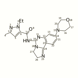 CCn1nc(C)cc1C(=O)NC1=Nc2cc(N3CCOCC3)ccc2C2=NCCN12